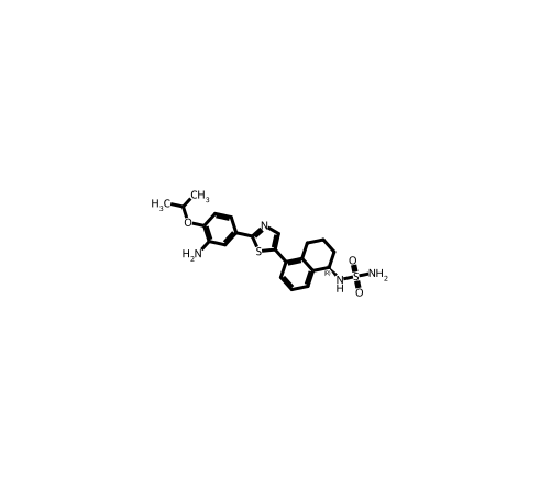 CC(C)Oc1ccc(-c2ncc(-c3cccc4c3CCC[C@H]4NS(N)(=O)=O)s2)cc1N